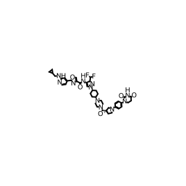 O=C1CCN(c2ccc(N3CC[C@@H](C(=O)N4CCN(C5CCC(n6cc(NC(=O)c7coc(-c8ccnc(NCC9CC9)c8)n7)c(C(F)F)n6)CC5)CC4)C3)cc2)C(=O)N1